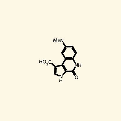 CNc1ccc2[nH]c(=O)c3[nH]cc(C(=O)O)c3c2c1